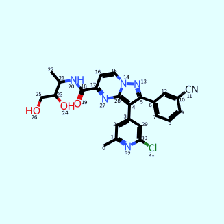 Cc1cc(-c2c(-c3cccc(C#N)c3)nn3ccc(C(=O)NC(C)C(O)CO)nc23)cc(Cl)n1